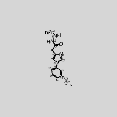 CCCNNC(=O)Cc1cn(-c2cccc(OC(F)(F)F)c2)cn1